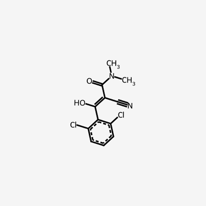 CN(C)C(=O)/C(C#N)=C(\O)c1c(Cl)cccc1Cl